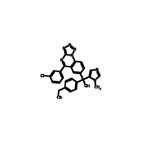 Cn1cncc1C(O)(c1ccc(CC#N)cc1)c1ccc2c(c1)c(-c1cccc(Cl)c1)nc1nnnn12